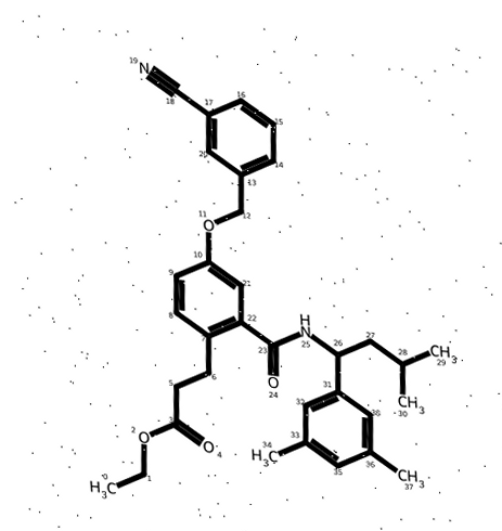 CCOC(=O)CCc1ccc(OCc2cccc(C#N)c2)cc1C(=O)NC(CC(C)C)c1cc(C)cc(C)c1